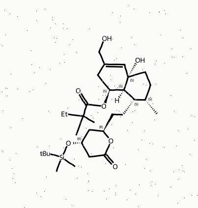 CCC(C)(C)C(=O)O[C@H]1CC(CO)=C[C@@]2(O)CC[C@H](C)[C@H](CC[C@@H]3C[C@@H](O[Si](C)(C)C(C)(C)C)CC(=O)O3)[C@@H]12